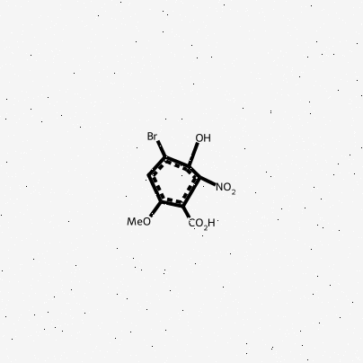 COc1cc(Br)c(O)c([N+](=O)[O-])c1C(=O)O